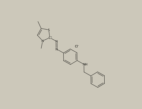 Cc1cn(C)[c+](N=Nc2ccc(NCc3ccccc3)cc2)s1.[Cl-]